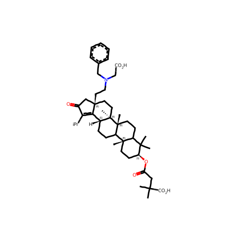 CC(C)C1=C2[C@H]3CCC4[C@@]5(C)CC[C@H](OC(=O)CC(C)(C)C(=O)O)C(C)(C)C5CC[C@@]4(C)[C@]3(C)CC[C@@]2(CCN(CC(=O)O)Cc2ccccc2)CC1=O